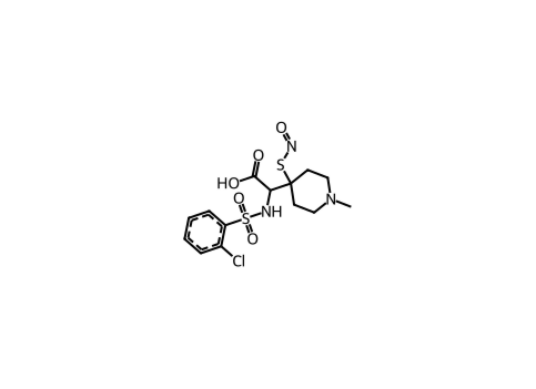 CN1CCC(SN=O)(C(NS(=O)(=O)c2ccccc2Cl)C(=O)O)CC1